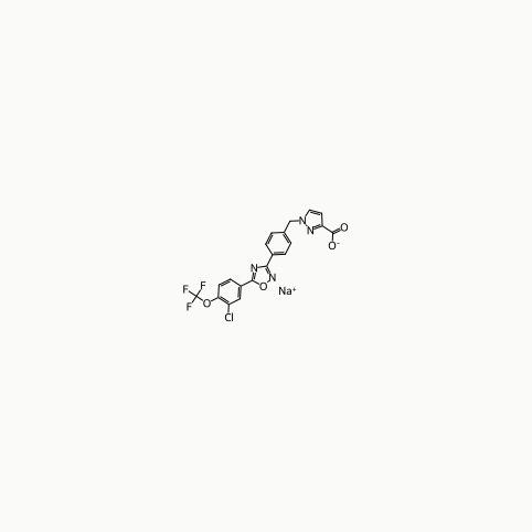 O=C([O-])c1ccn(Cc2ccc(-c3noc(-c4ccc(OC(F)(F)F)c(Cl)c4)n3)cc2)n1.[Na+]